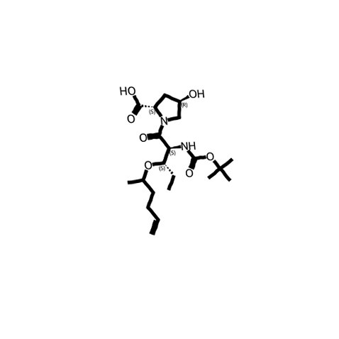 C=CCCC(C)O[C@@H](CC)[C@H](NC(=O)OC(C)(C)C)C(=O)N1C[C@H](O)C[C@H]1C(=O)O